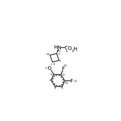 O=C(O)N[C@H]1C[C@H](Oc2cccc(F)c2F)C1